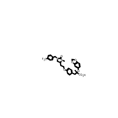 CN1C(=O)N(Cc2ccc(C(F)(F)F)cc2)CC1CCOc1ccc(CC(C)(Oc2ccc3c(c2)OCO3)C(=O)O)cc1